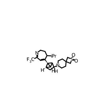 CC(C)C1CCN=C(C(F)(F)F)C=C1[C@]12C3[C@H](N4CCC5(CC4)CS(=O)(=O)C5)C[C@@H]1[C@H]32